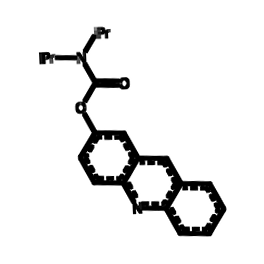 CC(C)N(C(=O)Oc1ccc2nc3ccccc3cc2c1)C(C)C